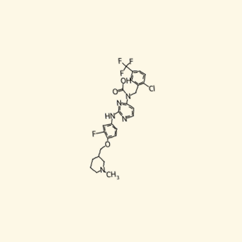 CN1CCCC(COc2ccc(Nc3nccc(N(Cc4cc(C(F)(F)F)ccc4Cl)C(=O)O)n3)cc2F)C1